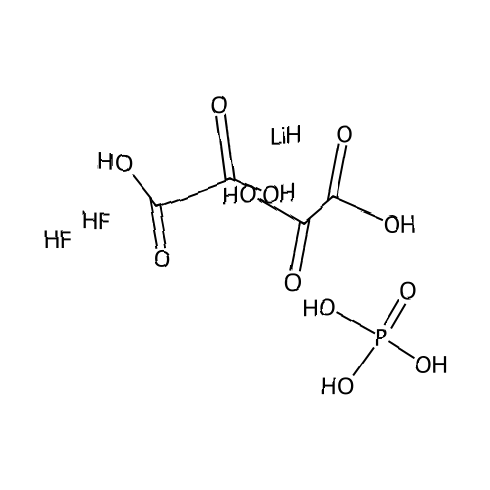 F.F.O=C(O)C(=O)O.O=C(O)C(=O)O.O=P(O)(O)O.[LiH]